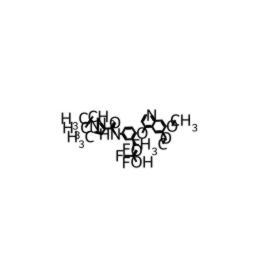 COc1cc2nccc(Oc3ccc(NC(=O)c4cc(C)n(C(C)(C)C)n4)cc3F)c2cc1OC.O=C(O)C(F)(F)F